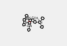 CC1(C)c2cc(-c3cc(-c4ccccc4)nc(-c4ccccc4)c3)ccc2-c2ccc(-n3c4ccccc4c4ccc5c6ccccc6n(-c6cccc7nc(-c8ccccc8)oc67)c5c43)cc21